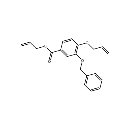 C=CCOC(=O)c1ccc(OCC=C)c(OCc2ccccc2)c1